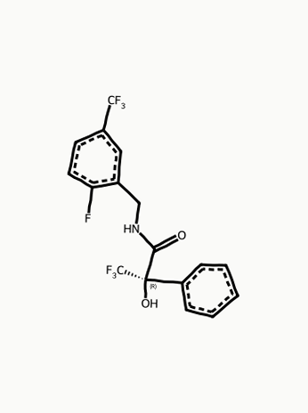 O=C(NCc1cc(C(F)(F)F)ccc1F)[C@](O)(c1ccccc1)C(F)(F)F